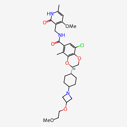 COCCOC1CN(C2CCC([C@H]3COc4c(Cl)cc(C(=O)NCc5c(OC)cc(C)[nH]c5=O)c(C)c4O3)CC2)C1